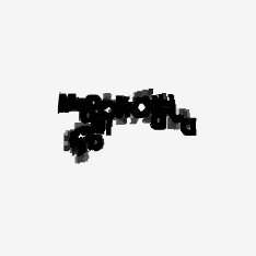 COc1cc2nn([C@H]3CC[C@H](NC(=O)CCCCl)CC3)cc2cc1C(=O)Nc1cccn(C)c1=O